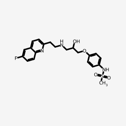 CS(=O)(=O)Nc1ccc(OCC(O)CNCCc2ccc3cc(F)ccc3n2)cc1